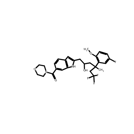 COc1ccc(F)cc1C(C)(CC(O)Cc1cc2ccc(C(=O)N3CCOCC3)cc2[nH]1)CC(F)(F)F